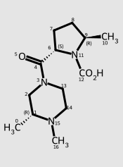 C[C@@H]1CN(C(=O)[C@@H]2CC[C@@H](C)N2C(=O)O)CCN1C